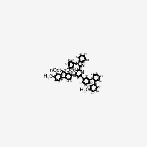 CCCCCCCCC1(CCCCCCCC)c2cc(C)ccc2-c2ccc(-c3cc(-c4cccc(-c5ccccc5-c5cccc(C)c5)c4)nc(-c4nc5ccccc5n4-c4ccccc4)n3)cc21